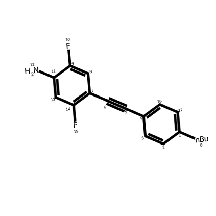 CCCCc1ccc(C#Cc2cc(F)c(N)cc2F)cc1